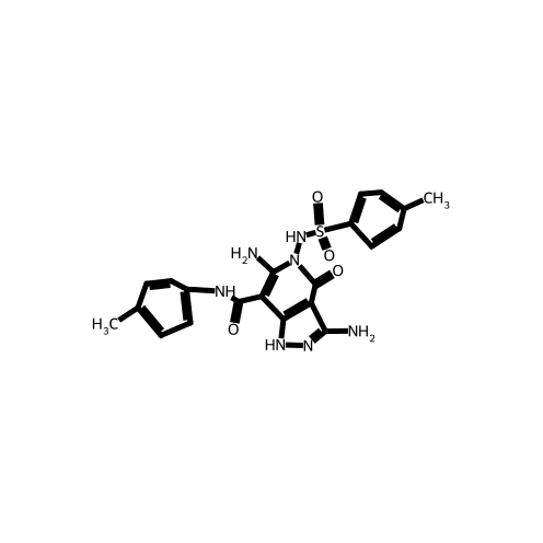 Cc1ccc(NC(=O)c2c(N)n(NS(=O)(=O)c3ccc(C)cc3)c(=O)c3c(N)n[nH]c23)cc1